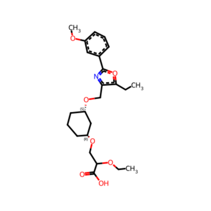 CCOC(CO[C@@H]1CCC[C@H](OCc2nc(-c3cccc(OC)c3)oc2CC)C1)C(=O)O